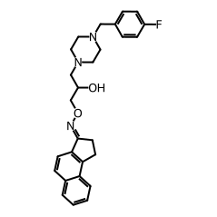 OC(CO/N=C1\CCc2c1ccc1ccccc21)CN1CCN(Cc2ccc(F)cc2)CC1